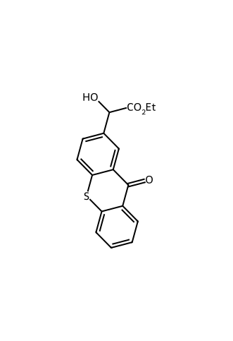 CCOC(=O)C(O)c1ccc2sc3ccccc3c(=O)c2c1